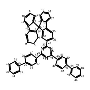 C1=CC2=C(CC1)C1(c3ccccc32)c2ccccc2-c2ccc(-c3nc(-c4ccc(-c5ccccc5)cc4)nc(-c4ccc(-c5ccccc5)cc4)n3)cc21